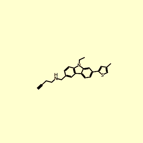 C#CCCNCc1ccc2c(c1)c1ccc(-c3cc(C)cs3)cc1n2CC